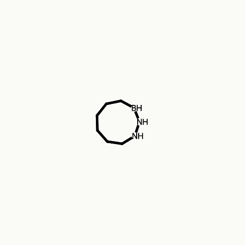 B1CCCCCCNN1